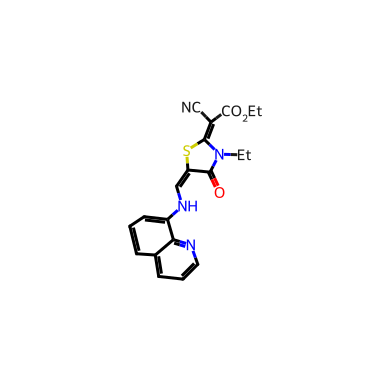 CCOC(=O)C(C#N)=c1sc(=CNc2cccc3cccnc23)c(=O)n1CC